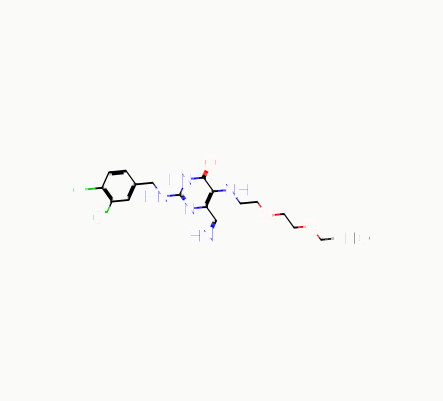 N=Cc1nc(NCc2ccc(Cl)c(Cl)c2)[nH]c(=O)c1NCCOCCOCC=O